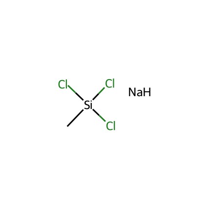 C[Si](Cl)(Cl)Cl.[NaH]